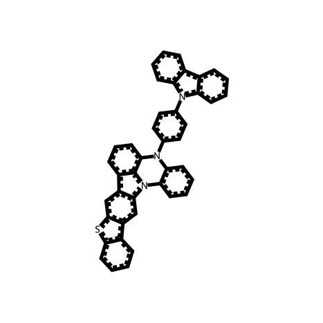 c1ccc2c(c1)N(c1ccc(-n3c4ccccc4c4ccccc43)cc1)c1cccc3c4cc5sc6ccccc6c5cc4n-2c13